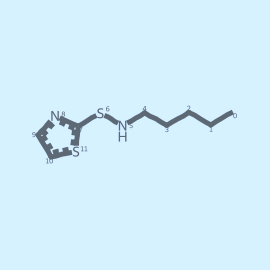 CCCCCNSc1nccs1